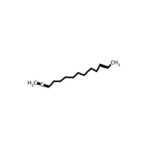 C=C=CCCCCCCCCC=CC